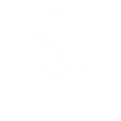 CC[C@H](CO)NC(=O)C[C@H](NC(=O)OC(C)(C)C)C(=O)OCc1ccccc1